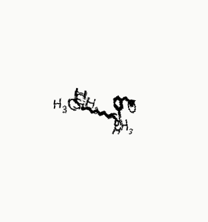 C[SiH](C)CCCCCCCC[SiH](C)Cc1cccc(CC2CO2)c1